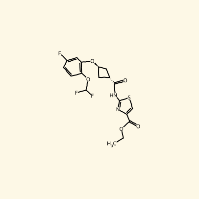 CCOC(=O)c1csc(NC(=O)[C@H]2C[C@H](Oc3cc(F)ccc3OC(F)F)C2)n1